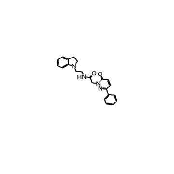 O=C(Cn1nc(-c2ccccc2)ccc1=O)NCCN1CCc2ccccc21